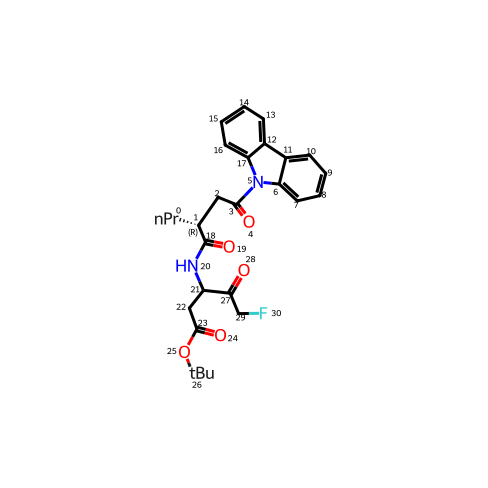 CCC[C@H](CC(=O)n1c2ccccc2c2ccccc21)C(=O)NC(CC(=O)OC(C)(C)C)C(=O)CF